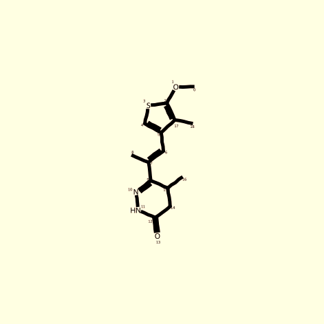 COc1scc(C=C(C)C2=NNC(=O)CC2C)c1C